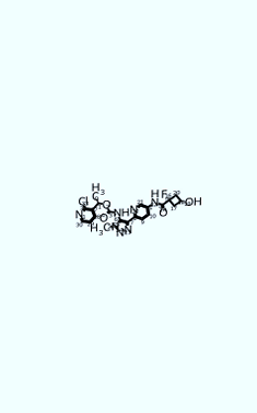 C[C@@H](OC(=O)Nc1c(-c2ccc(NC(=O)[C@]3(F)C[C@@H](O)C3)cn2)nnn1C)c1cccnc1Cl